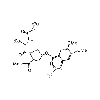 COC(=O)C1C[C@@H](Oc2nc(C(F)(F)F)nc3cc(OC)c(OC)cc23)CN1C(=O)C(NC(=O)OC(C)(C)C)C(C)(C)C